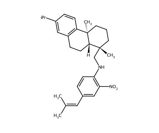 CC(C)=Cc1ccc(NC[C@@]2(C)CCC[C@]3(C)c4ccc(C(C)C)cc4CC[C@@H]23)c([N+](=O)[O-])c1